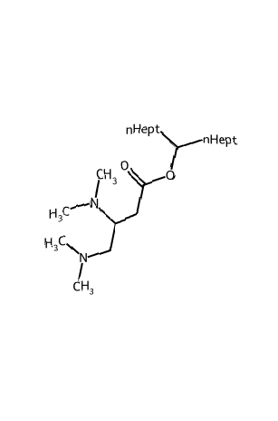 CCCCCCCC(CCCCCCC)OC(=O)CC(CN(C)C)N(C)C